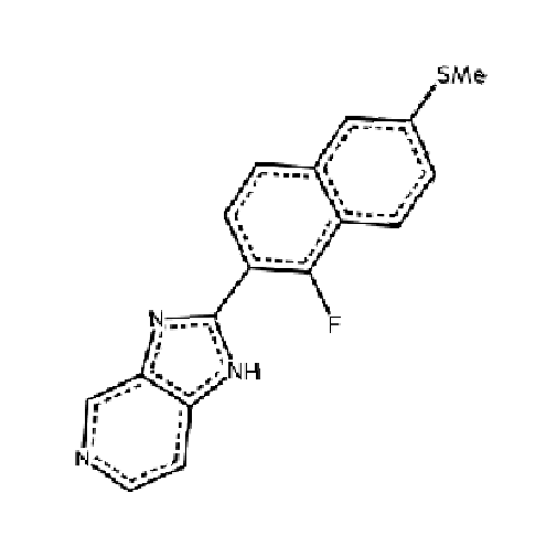 CSc1ccc2c(F)c(-c3nc4cnccc4[nH]3)ccc2c1